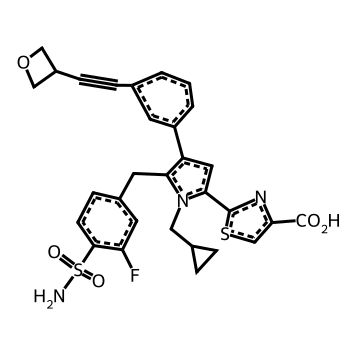 NS(=O)(=O)c1ccc(Cc2c(-c3cccc(C#CC4COC4)c3)cc(-c3nc(C(=O)O)cs3)n2CC2CC2)cc1F